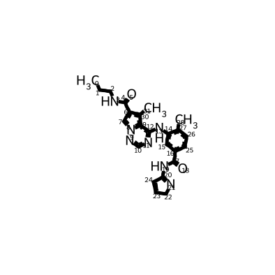 CCCNC(=O)c1cn2ncnc(Nc3cc(C(=O)NC4=NCC=C4)ccc3C)c2c1C